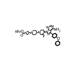 CN1C=NC(N)=C2C(c3ccc(Oc4ccccc4)cc3)=NN([C@@H]3CCN(C4CCN(C5CN(C(=O)OC(C)(C)C)C5)CC4)C[C@H]3F)C21